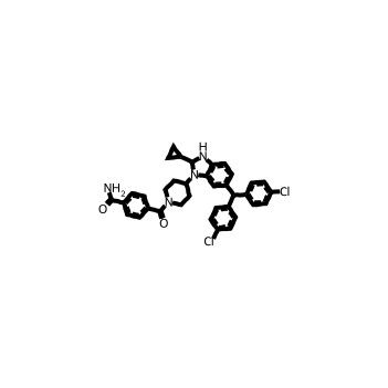 NC(=O)c1ccc(C(=O)N2CCC(N3c4cc(C(c5ccc(Cl)cc5)c5ccc(Cl)cc5)ccc4NC3C3CC3)CC2)cc1